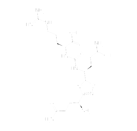 N=C(N)NCCC[C@H](NC(=O)N[C@@H](CCC(N)O)c1nc([C@@H](N)CCC(N)=O)no1)C(=O)O